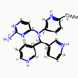 COc1ccc(N(c2ccnc(N)n2)C(c2cccnc2)c2cccnc2)cn1